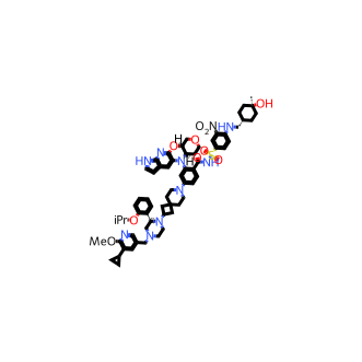 COc1ncc(CN2CCN(C3CC4(CCN(c5ccc(C(=O)NS(=O)(=O)c6ccc(NC[C@H]7CC[C@](C)(O)CC7)c([N+](=O)[O-])c6)c(N6c7cc8cc[nH]c8nc7O[C@H]7COCC[C@@H]76)c5)CC4)C3)[C@@H](c3ccccc3OC(C)C)C2)cc1C1CC1